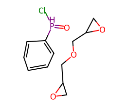 C(OCC1CO1)C1CO1.O=[PH](Cl)c1ccccc1